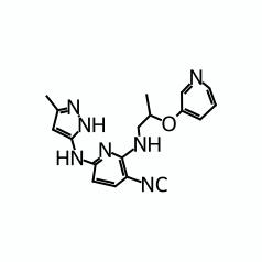 [C-]#[N+]c1ccc(Nc2cc(C)n[nH]2)nc1NCC(C)Oc1cccnc1